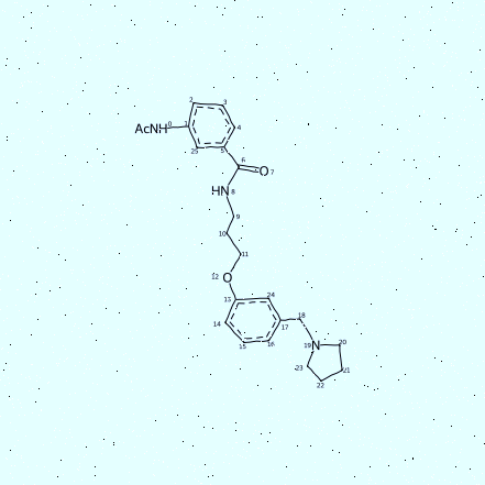 CC(=O)Nc1cccc(C(=O)NCCCOc2cccc(CN3CCCC3)c2)c1